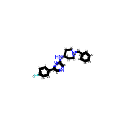 Fc1ccc(-c2cncc(NC3CCN(Cc4ccccc4)CC3)n2)cc1